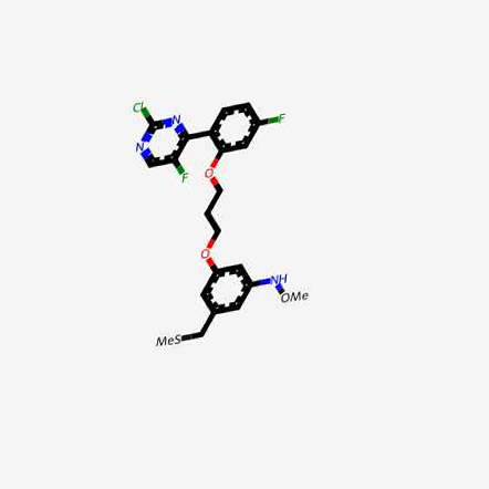 CONc1cc(CSC)cc(OCCCOc2cc(F)ccc2-c2nc(Cl)ncc2F)c1